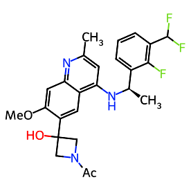 COc1cc2nc(C)cc(N[C@H](C)c3cccc(C(F)F)c3F)c2cc1C1(O)CN(C(C)=O)C1